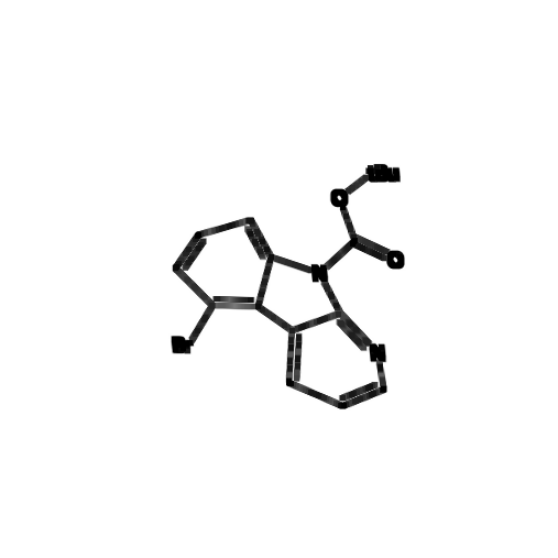 CC(C)(C)OC(=O)n1c2cccc(Br)c2c2cccnc21